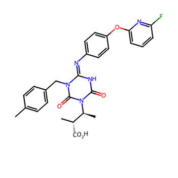 Cc1ccc(Cn2c(=O)n([C@@H](C)[C@@H](C)C(=O)O)c(=O)[nH]/c2=N\c2ccc(Oc3cccc(F)n3)cc2)cc1